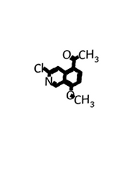 COc1ccc(C(C)=O)c2cc(Cl)ncc12